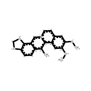 COc1cc2cc[n+]3cc4c5c(ccc4c(C)c3c2cc1OC)OCO5